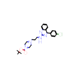 CC(C)(C)OC(=O)N1CCN(CCCNc2nc(-c3ccc(Cl)cc3)c3ccccc3n2)CC1